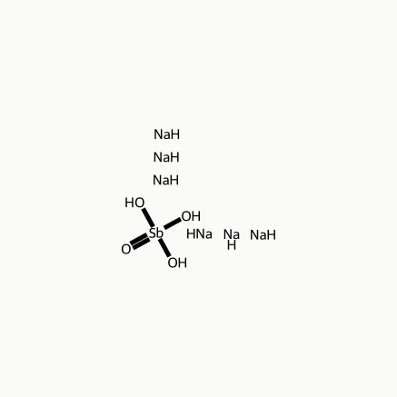 [NaH].[NaH].[NaH].[NaH].[NaH].[NaH].[O]=[Sb]([OH])([OH])[OH]